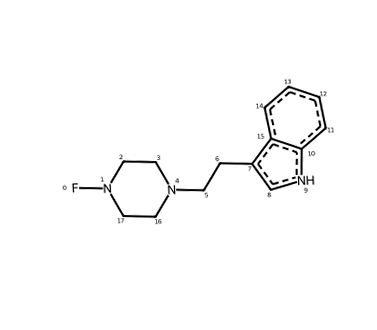 FN1CCN(CCc2c[nH]c3ccccc23)CC1